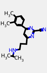 Cc1ccc(-c2cc(CCCNC(C)C)nc(C#N)n2)cc1C